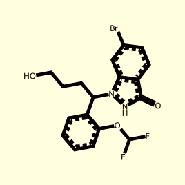 O=c1[nH]n(C(CCCO)c2ccccc2OC(F)F)c2cc(Br)ccc12